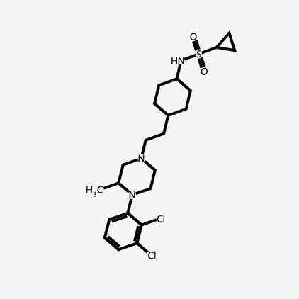 CC1CN(CCC2CCC(NS(=O)(=O)C3CC3)CC2)CCN1c1cccc(Cl)c1Cl